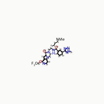 CNCCCC[C@@H](CN1CCn2c(cc3c(OCC(F)(F)F)nccc32)C1=O)NC(=O)c1cccc(-c2nnn(C)n2)c1